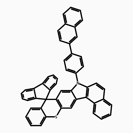 c1ccc2c(c1)Sc1cc3c4c5ccccc5ccc4n(-c4ccc(-c5ccc6ccccc6c5)cc4)c3cc1C21c2ccccc2-c2ccccc21